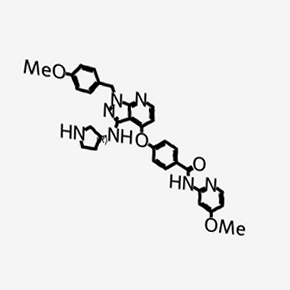 COc1ccc(Cn2nc(N[C@@H]3CCNC3)c3c(Oc4ccc(C(=O)Nc5cc(OC)ccn5)cc4)ccnc32)cc1